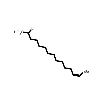 CCCC/C=C\CCCCCCCCCCC(Cl)C(=O)O